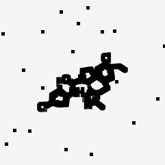 CCc1cc(Cn2c(C)nnc2[C@H]2CCCN2C(=O)Nc2ccc(Cl)cc2F)ccc1Cl